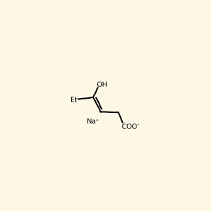 CCC(O)=CCC(=O)[O-].[Na+]